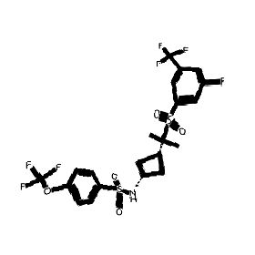 CC(C)([C@H]1C[C@@H](NS(=O)(=O)c2ccc(OC(F)(F)F)cc2)C1)S(=O)(=O)c1cc(F)cc(C(F)(F)F)c1